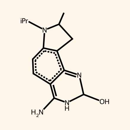 CC(C)N1c2ccc3c(c2CC1C)=NC(O)NC=3N